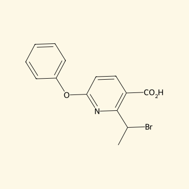 CC(Br)c1nc(Oc2ccccc2)ccc1C(=O)O